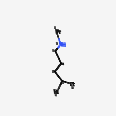 CCC(CC)CCCNC(C)C